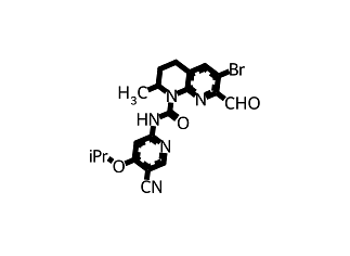 CC(C)Oc1cc(NC(=O)N2c3nc(C=O)c(Br)cc3CCC2C)ncc1C#N